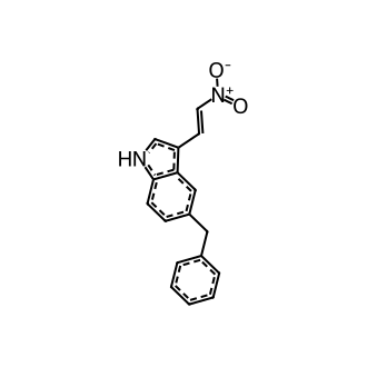 O=[N+]([O-])/C=C/c1c[nH]c2ccc(Cc3ccccc3)cc12